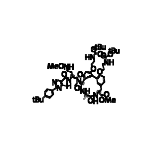 CONCC[C@H](NC(=O)c1cnc(-c2ccc(C(C)(C)C)cc2)nc1C)C(=O)N(C)[C@@H]1C(=O)N[C@@H](C)C(=O)N[C@H](C(=O)OC)Cc2ccc(OCCNC(=O)OC(C)(C)C)c(c2)-c2cc1ccc2OCCNC(=O)OC(C)(C)C